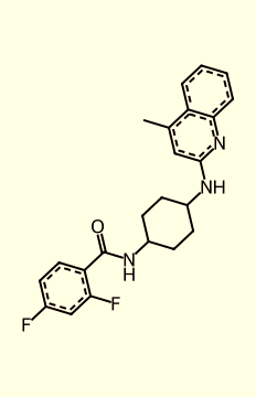 Cc1cc(NC2CCC(NC(=O)c3ccc(F)cc3F)CC2)nc2ccccc12